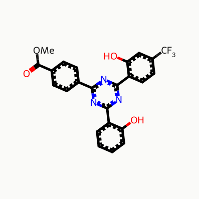 COC(=O)c1ccc(-c2nc(-c3ccccc3O)nc(-c3ccc(C(F)(F)F)cc3O)n2)cc1